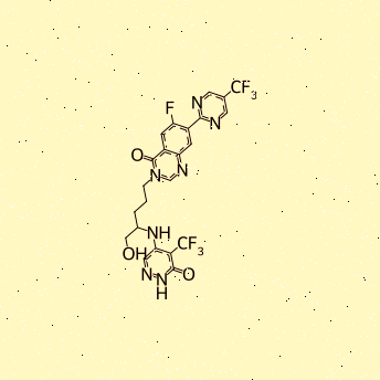 O=c1[nH]ncc(NC(CO)CCCn2cnc3cc(-c4ncc(C(F)(F)F)cn4)c(F)cc3c2=O)c1C(F)(F)F